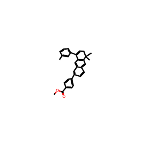 COC(=O)c1ccc(-c2ccc3cc4c(cc3c2)C(c2cccc(C)c2)=CCC4(C)C)cc1